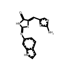 Nc1ncc(C=C2SC(=Nc3ccc4cc[nH]c4c3)NC2=O)s1